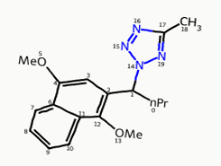 [CH2]CCC(c1cc(OC)c2ccccc2c1OC)n1nnc(C)n1